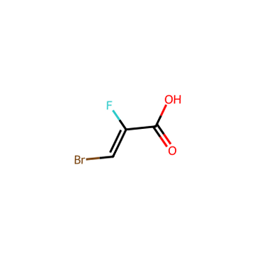 O=C(O)/C(F)=C/Br